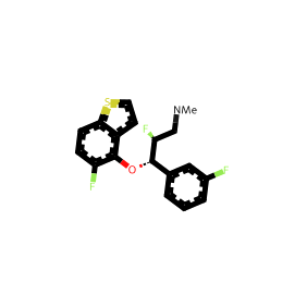 CNC[C@H](F)[C@@H](Oc1c(F)ccc2sccc12)c1cccc(F)c1